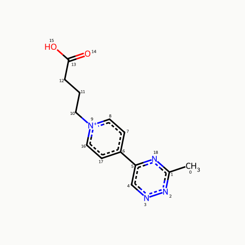 Cc1nncc(-c2cc[n+](CCCC(=O)O)cc2)n1